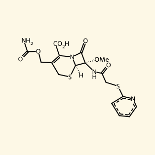 CO[C@@]1(NC(=O)CSc2ccccn2)C(=O)N2C(C(=O)O)=C(COC(N)=O)CS[C@@H]21